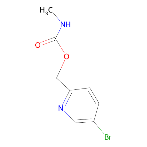 CNC(=O)OCc1ccc(Br)cn1